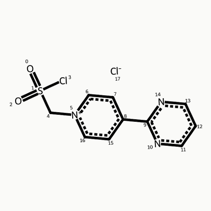 O=S(=O)(Cl)C[n+]1ccc(-c2ncccn2)cc1.[Cl-]